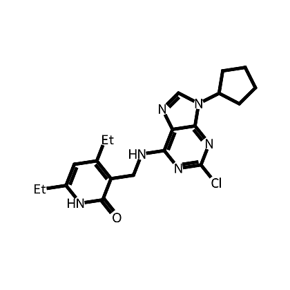 CCc1cc(CC)c(CNc2nc(Cl)nc3c2ncn3C2CCCC2)c(=O)[nH]1